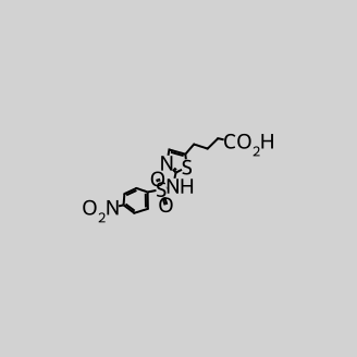 O=C(O)CCCc1cnc(NS(=O)(=O)c2ccc([N+](=O)[O-])cc2)s1